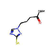 COC(=O)CCCn1cnc(S)n1